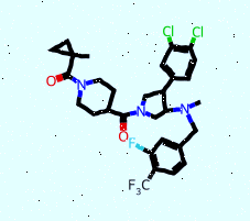 CN(Cc1ccc(C(F)(F)F)c(F)c1)C1CN(C(=O)C2CCN(C(=O)C3(C)CC3)CC2)CC1c1ccc(Cl)c(Cl)c1